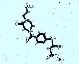 CC(C)(C)OC(=O)NC(=N)Nc1ccc(C(=O)N2CCN(CCC(=O)O)C(=O)C2)cc1